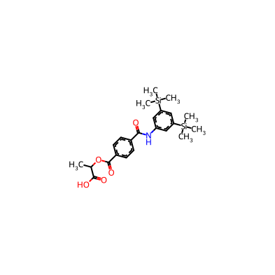 CC(OC(=O)c1ccc(C(=O)Nc2cc([Si](C)(C)C)cc([Si](C)(C)C)c2)cc1)C(=O)O